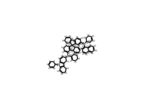 C1=CCC(n2c3c(c4c2C=CC(N(C2=CCCCC2)C2=CCCC5=C2C2C=CC=CC2C52C5=C(C=CCC5)c5ccc(N(c6cccc7ccccc67)C6CC=CCC6)cc52)C4)CCC=C3)C=C1